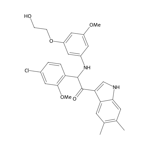 COc1cc(NC(C(=O)c2c[nH]c3cc(C)c(C)cc23)c2ccc(Cl)cc2OC)cc(OCCO)c1